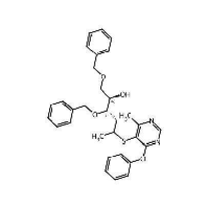 Cc1ncnc(Oc2ccccc2)c1SC(C)C[C@H](OCc1ccccc1)[C@H](O)COCc1ccccc1